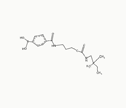 CCC(C)(C)CNC(=O)CCCCNC(=O)c1ccc(B(O)O)cc1